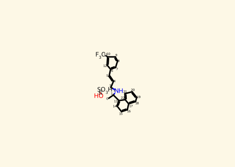 CC(NCC=Cc1cccc(C(F)(F)F)c1)c1cccc2ccccc12.O=S(=O)(O)O